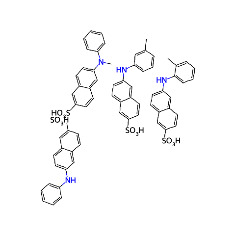 CN(c1ccccc1)c1ccc2cc(S(=O)(=O)O)ccc2c1.Cc1cccc(Nc2ccc3cc(S(=O)(=O)O)ccc3c2)c1.Cc1ccccc1Nc1ccc2cc(S(=O)(=O)O)ccc2c1.O=S(=O)(O)c1ccc2cc(Nc3ccccc3)ccc2c1